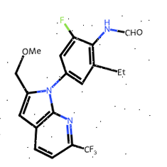 CCc1cc(-n2c(COC)cc3ccc(C(F)(F)F)nc32)cc(F)c1NC=O